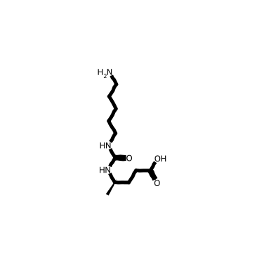 C[C@H](CCC(=O)O)NC(=O)NCCCCCN